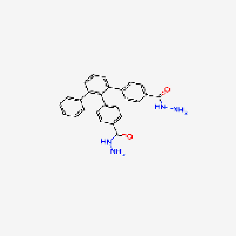 NNC(=O)c1ccc(-c2cccc(-c3ccccc3)c2-c2ccc(C(=O)NN)cc2)cc1